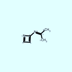 CC(C)=NC1=CC=N1